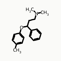 Cc1ccc(OC(CCN(C)C)c2ccccc2)cc1